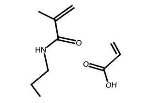 C=C(C)C(=O)NCCC.C=CC(=O)O